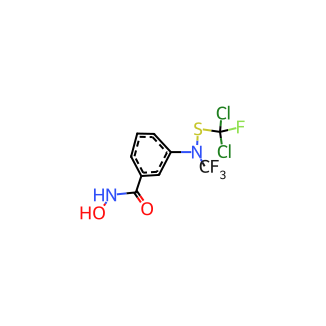 O=C(NO)c1cccc(N(SC(F)(Cl)Cl)C(F)(F)F)c1